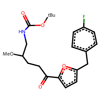 COC(CCC(=O)c1ccc(Cc2ccc(F)cc2)o1)CNC(=O)OC(C)(C)C